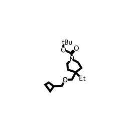 CCC1(COCC2CCC2)CCN(C(=O)OC(C)(C)C)CC1